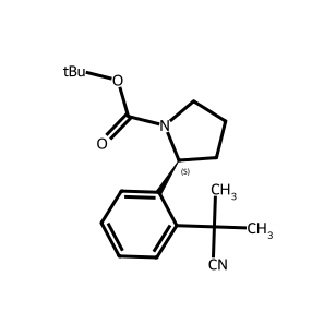 CC(C)(C)OC(=O)N1CCC[C@H]1c1ccccc1C(C)(C)C#N